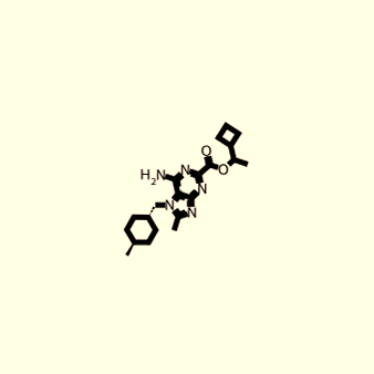 Cc1nc2nc(C(=O)OC(C)C3CCC3)nc(N)c2n1C[C@H]1CC[C@H](C)CC1